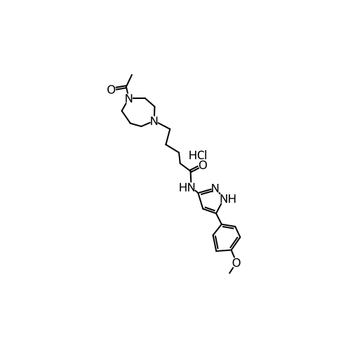 COc1ccc(-c2cc(NC(=O)CCCCN3CCCN(C(C)=O)CC3)n[nH]2)cc1.Cl